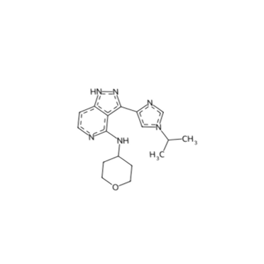 CC(C)n1cnc(-c2n[nH]c3ccnc(NC4CCOCC4)c23)c1